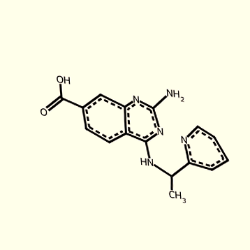 CC(Nc1nc(N)nc2cc(C(=O)O)ccc12)c1ccccn1